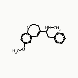 CNC(Cc1ccccc1)C1=Cc2cc(OC)ccc2OCC1